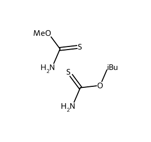 CCC(C)OC(N)=S.COC(N)=S